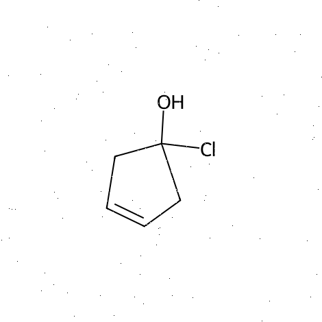 OC1(Cl)CC=CC1